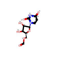 O=COC[C@@H]1O[C@H](n2ccc(=O)[nH]c2=O)C(O)C1O